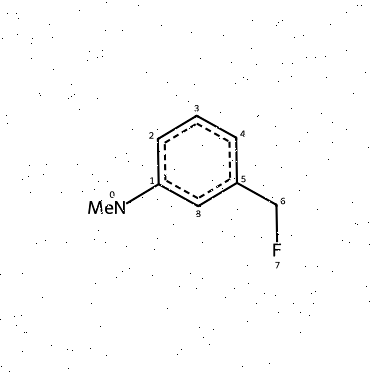 CNc1cccc(CF)c1